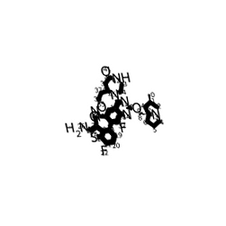 C[C@H]1CN2CCC[C@@]2(COc2nc3c4c(c(Cl)c(-c5ccc(F)c6sc(N)c(C#N)c56)c(F)c4n2)OCCC2CC(=O)NCCN32)C1